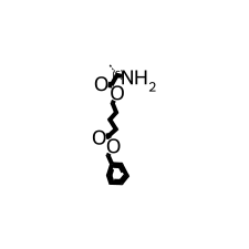 C[C@H](N)C(=O)OCCCCC(=O)OCc1ccccc1